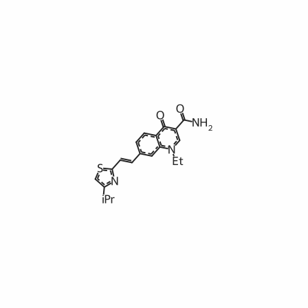 CCn1cc(C(N)=O)c(=O)c2ccc(C=Cc3nc(C(C)C)cs3)cc21